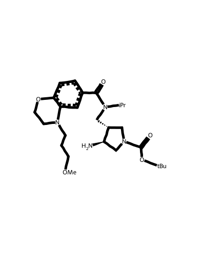 COCCCN1CCOc2ccc(C(=O)N(C[C@@H]3CN(C(=O)OC(C)(C)C)C[C@H]3N)C(C)C)cc21